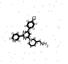 NCC1CCCN(c2cc(-c3ccc(Cl)cc3)nc(-c3cccnc3)n2)C1